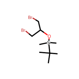 CC(C)(C)[Si](C)(C)OC(CBr)CBr